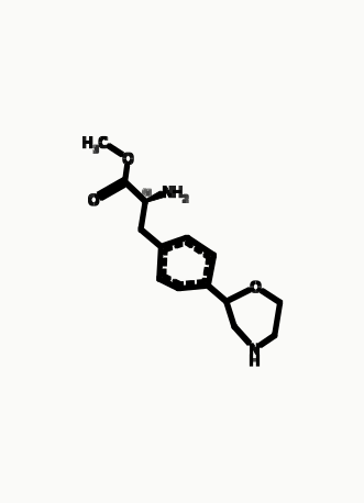 COC(=O)[C@@H](N)Cc1ccc(C2CNCCO2)cc1